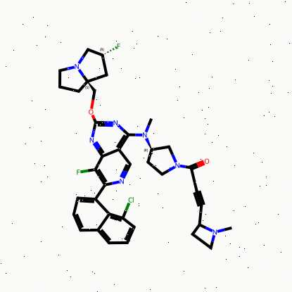 CN1CCC1C#CC(=O)N1CC[C@@H](N(C)c2nc(OC[C@@]34CCCN3C[C@H](F)C4)nc3c(F)c(-c4cccc5cccc(Cl)c45)ncc23)C1